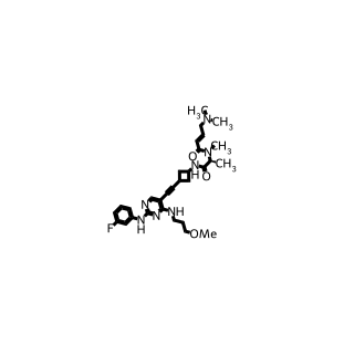 COCCCNc1nc(Nc2cccc(F)c2)ncc1C#CC1CC(NC(=O)[C@H](C)N(C)C(=O)/C=C/CN(C)C)C1